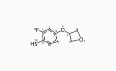 Fc1cc(OC2COC2)ccc1S